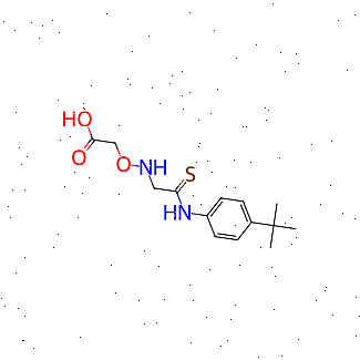 CC(C)(C)c1ccc(NC(=S)CNOCC(=O)O)cc1